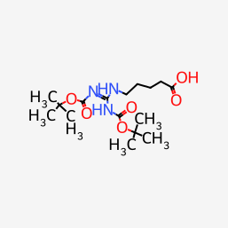 CC(C)(C)OC(=O)N=C(NCCCCC(=O)O)NC(=O)OC(C)(C)C